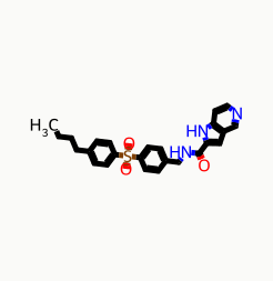 CCCCc1ccc(S(=O)(=O)c2ccc(CNC(=O)c3cc4cnccc4[nH]3)cc2)cc1